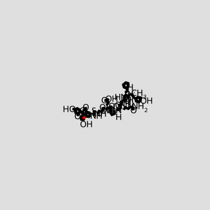 C[C@H](Cc1ccc(O)cc1)NC(=O)[C@H](CCc1ccccc1)NC(=O)CNC(=O)[C@H](CCCNC(N)=O)NC(=O)[C@@H]1CCCN1C(=O)[C@H](CCC(=O)O)NC(=O)CCNC(=S)Nc1ccc2c(c1)C(=O)OC21c2ccc(O)cc2Oc2cc(O)ccc21